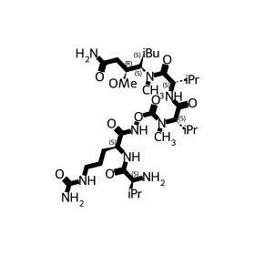 CC[C@H](C)[C@@H]([C@@H](CC(N)=O)OC)N(C)C(=O)[C@@H](NC(=O)[C@H](C(C)C)N(C)C(=O)ONC(=O)[C@H](CCCNC(N)=O)NC(=O)[C@@H](N)C(C)C)C(C)C